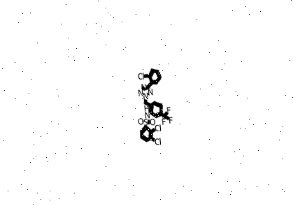 O=S(=O)(Nc1cc(C(F)(F)F)ccc1Cn1nnc(-c2ccccc2Cl)n1)c1cccc(Cl)c1Cl